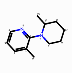 Cc1cccnc1N1CC[CH]CC1C